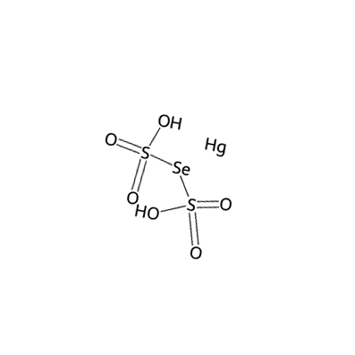 O=S(=O)(O)[Se]S(=O)(=O)O.[Hg]